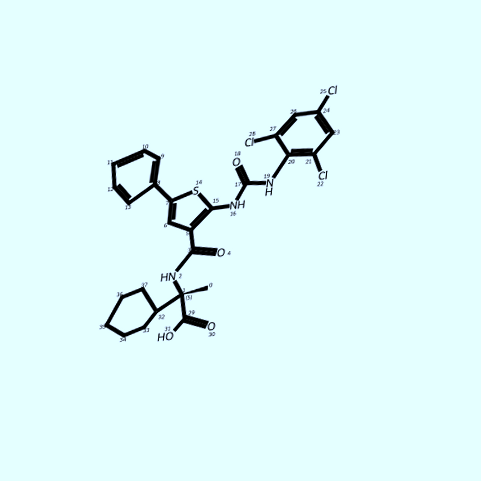 C[C@@](NC(=O)c1cc(-c2ccccc2)sc1NC(=O)Nc1c(Cl)cc(Cl)cc1Cl)(C(=O)O)C1CCCCC1